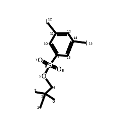 CC(C)(C)COS(=O)(=O)c1cc(I)cc(I)c1